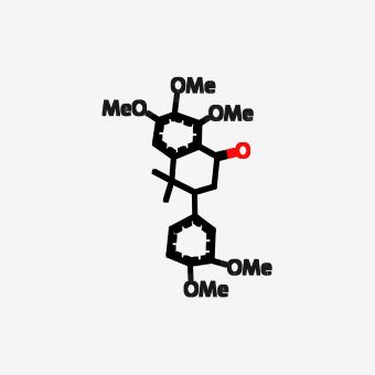 COc1ccc(C2CC(=O)c3c(cc(OC)c(OC)c3OC)C2(C)C)cc1OC